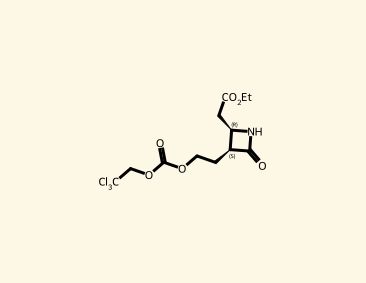 CCOC(=O)C[C@H]1NC(=O)[C@H]1CCOC(=O)OCC(Cl)(Cl)Cl